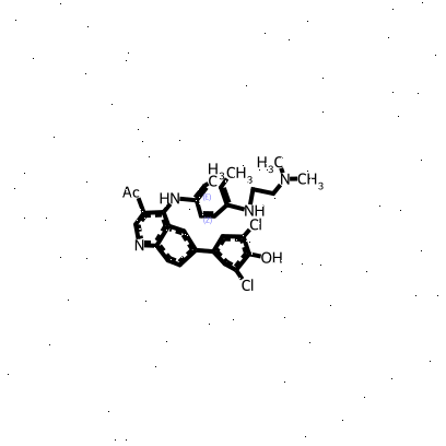 CC=C(/C=C\C(=C/C)Nc1c(C(C)=O)cnc2ccc(-c3cc(Cl)c(O)c(Cl)c3)cc12)NCCN(C)C